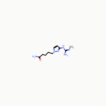 C/N=C(/N)Nc1ccn(CCCCC(N)=O)n1